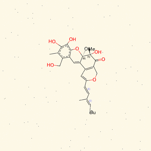 CCC(C)/C=C(C)/C=C/C1=CC2=C(CO1)C(=O)[C@@](C)(O)[C@]1(OC)Oc3c(O)c(O)c(C)c(CO)c3C=C21